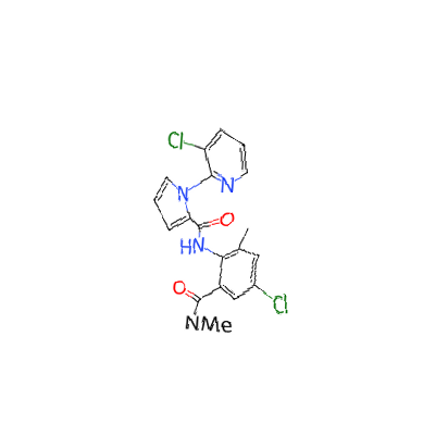 CNC(=O)c1cc(Cl)cc(C)c1NC(=O)c1cccn1-c1ncccc1Cl